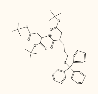 CC(C)(C)OC(=O)CC(CCCSC(c1ccccc1)(c1ccccc1)c1ccccc1)C(=O)NC(CC(=O)OC(C)(C)C)C(=O)OC(C)(C)C